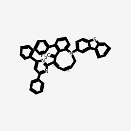 C=C1/C(c2nc(-c3ccccc3)cc(-c3ccccc3)n2)=C\C=C/CN(c2ccc3sc4ccccc4c3c2)c2cccc(-c3ccccc3)c21